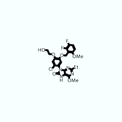 CCc1nc(OC)c2[nH]c(=O)n(-c3cc(OCc4c(OC)ccc(F)c4F)c(OCCO)cc3Cl)c2n1